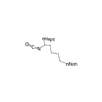 CCCCCCCCCCCCCC(CCCCCCC)N=C=O